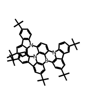 CC(C)(C)c1ccc2c(c1)c1cc(C(C)(C)C)ccc1n2-c1ccc2c3c1-n1c4ccc(C(C)(C)C)cc4c4cc(C(C)(C)C)cc(c41)B3c1cc(C(C)(C)C)cc3c4cc(C(C)(C)C)ccc4n-2c13